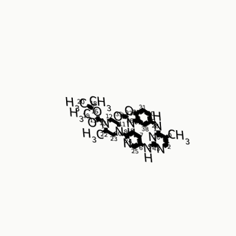 Cc1cnc(Nc2ccc(N3CCN(C(=O)OC(C)(C)C)C(C)C3)nc2)nc1Nc1ccc2oc(=O)[nH]c2c1